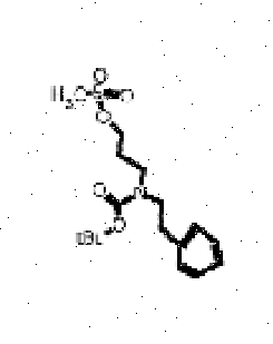 CC(C)(C)OC(=O)N(CCCOS(C)(=O)=O)CCc1ccccc1